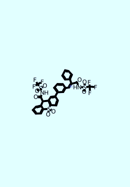 O=C(NS(=O)(=O)C(F)(F)F)/C(=C/c1cccc(-c2ccc3c(c2)C(C(=O)NS(=O)(=O)C(F)(F)F)c2ccccc2S3(=O)=O)c1)c1ccccc1